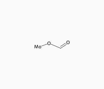 O=C[O][Mo]